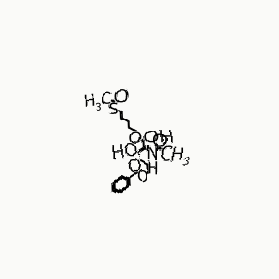 CC(=O)N[C@@H](C(O)[C@@H]1CCOC(c2ccccc2)O1)[C@H](O)OCCCCCSC(C)=O